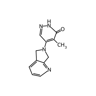 Cc1c(N2Cc3cccnc3C2)cn[nH]c1=O